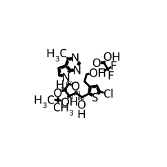 Cc1ncnc2c1ccn2[C@@H]1O[C@H]([C@@H](O)c2sc(Cl)cc2CCO)[C@H]2OC(C)(C)O[C@H]21.O=C(O)C(F)(F)F